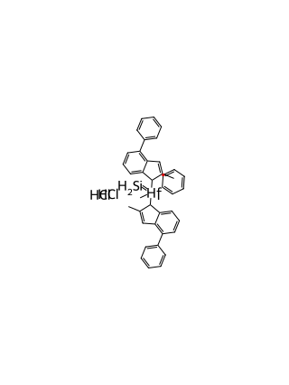 CC1=Cc2c(-c3ccccc3)cccc2[CH]1[Hf]([CH3])(=[SiH2])([c]1ccccc1)[CH]1C(C)=Cc2c(-c3ccccc3)cccc21.Cl.Cl